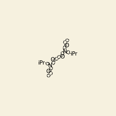 CC(C)c1ccc(N(c2ccc3c(c2)oc2cc4cc5c(cc4cc23)oc2cc(N(c3ccc(C(C)C)cc3)c3ccc4c(c3)oc3c6ccccc6ccc43)ccc25)c2ccc3c(c2)oc2c4ccccc4ccc32)cc1